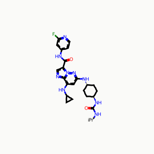 CC(C)NC(=O)N[C@H]1CC[C@H](Nc2cc(NC3CC3)c3ncc(C(=O)Nc4ccnc(F)c4)n3n2)CC1